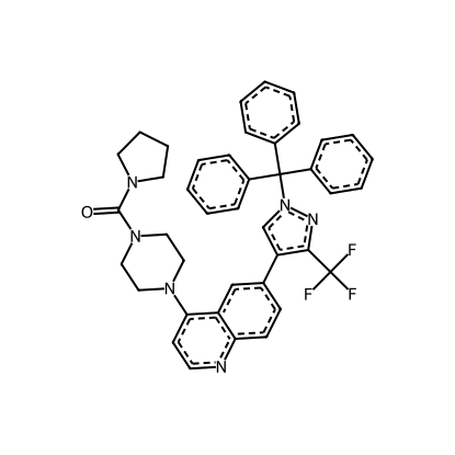 O=C(N1CCCC1)N1CCN(c2ccnc3ccc(-c4cn(C(c5ccccc5)(c5ccccc5)c5ccccc5)nc4C(F)(F)F)cc23)CC1